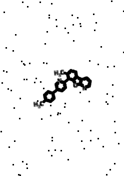 Cc1ccc(-c2ccc(-c3c(C)ccc4c3oc3ncccc34)nc2)cc1